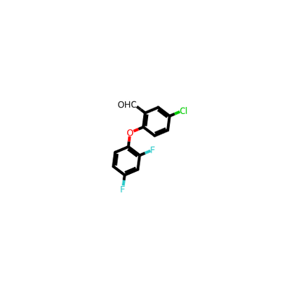 O=Cc1cc(Cl)ccc1Oc1ccc(F)cc1F